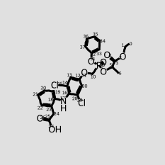 CCOC(=O)C(C)OP(=O)(COc1cc(Cl)c(Nc2ccccc2CC(=O)O)c(Cl)c1)Oc1ccccc1